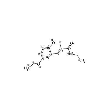 CCNC(=O)C1=Cc2cc(OCC)ccc2OC1